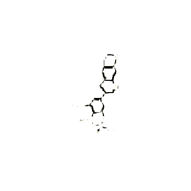 COc1cc(-c2cnc3cc4c(cc3c2)OCO4)cc(OS(=O)(=O)C(F)(F)F)c1OC